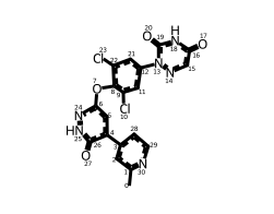 Cc1cc(-c2cc(Oc3c(Cl)cc(-n4ncc(=O)[nH]c4=O)cc3Cl)n[nH]c2=O)ccn1